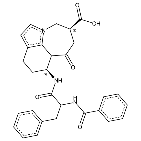 O=C(NC(Cc1ccccc1)C(=O)N[C@H]1CCc2ccn3c2C1C(=O)C[C@H](C(=O)O)C3)c1ccccc1